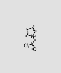 O=C(Cl)Cn1cccc1